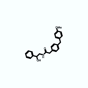 COc1ccc(Cc2ccc(CC(=O)NCC(O)c3ccccc3)cc2)cc1